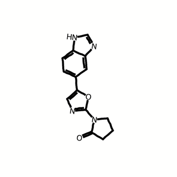 O=C1CCCN1c1ncc(-c2ccc3[nH]cnc3c2)o1